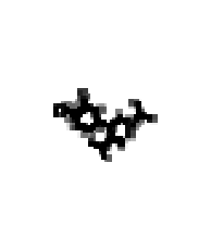 C=C(C(C)C)C(CNC(C)C)c1ccc(Cl)c(F)c1